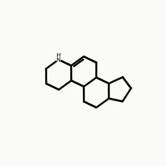 C1=C2NCCCC2C2CCC3CCCC3C2C1